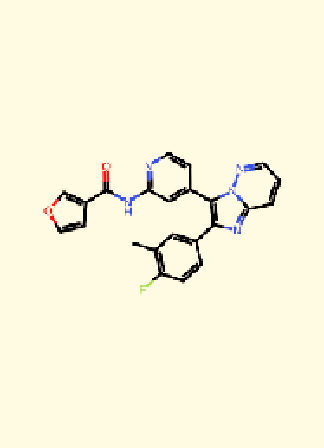 Cc1cc(-c2nc3cccnn3c2-c2ccnc(NC(=O)c3ccoc3)c2)ccc1F